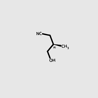 C[C@@H](CO)CC#N